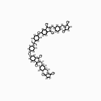 CC(C)(c1ccc(Oc2ccc3c(c2)C(=O)N(Cc2cccc(CN4C(=O)C=CC4=O)c2)C3=O)cc1)c1ccc(Oc2ccc3c(c2)C(=O)N(Cc2cccc(CN4C(=O)C=CC4=O)c2)C3=O)cc1